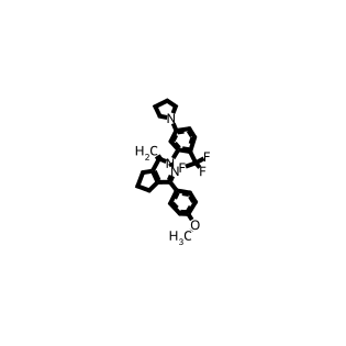 C=C1C2=C(CCC2)C(c2ccc(OC)cc2)=NN1c1cc(N2CCCC2)ccc1C(F)(F)F